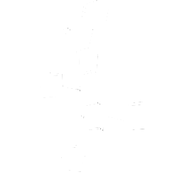 O=[N+]([O-])c1ccccc1-c1ccc2c(c1)c1ccccc1n2-c1nc(-c2ccccc2)nc(-c2ccccc2)n1